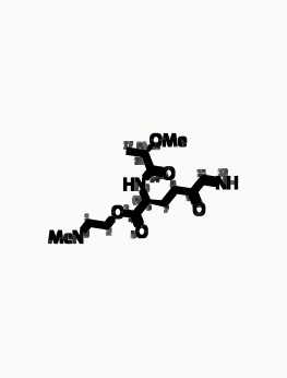 CNCCOC(=O)[C@H](CCC(=O)C=N)NC(=O)[C@H](C)OC